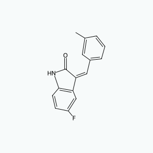 Cc1cccc(C=C2C(=O)Nc3ccc(F)cc32)c1